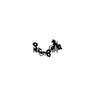 Cc1ccc(-n2nc(C(C)(C)C)cc2NC(=O)Nc2ccc(OCC(=O)N3CCn4c(nnc4-c4ccccc4)C3)c3c2CCC3)cc1